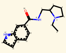 CCN1CCCC1CNC(=O)c1ccc2[c]c[nH]c2c1